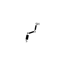 S=PSS